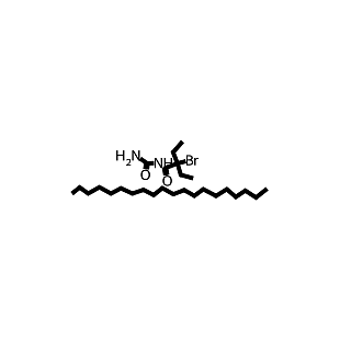 CCC(Br)(CC)C(=O)NC(N)=O.CCCCCCCCCCCCCCCCCCCC